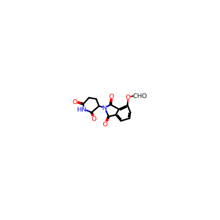 O=COc1cccc2c1C(=O)N(C1CCC(=O)NC1=O)C2=O